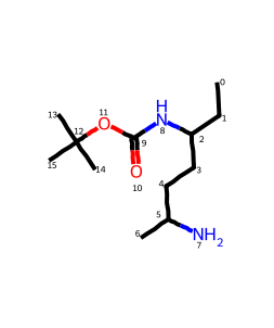 CCC(CCC(C)N)NC(=O)OC(C)(C)C